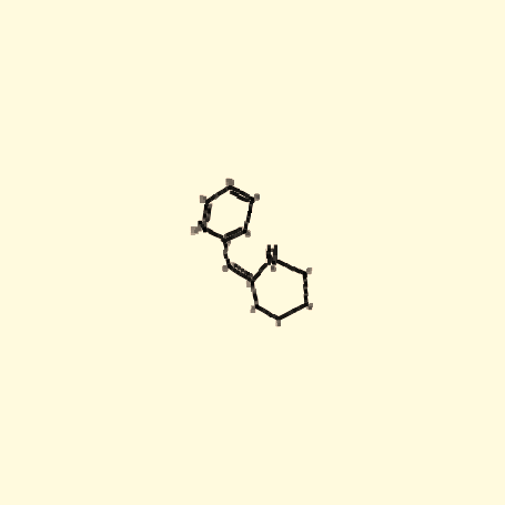 C(=C1\CCCCN1)/c1ccccn1